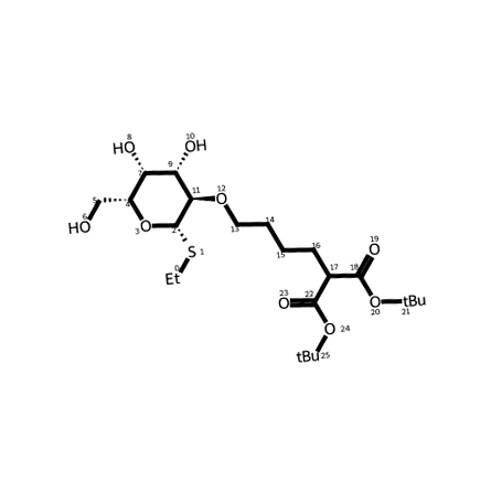 CCS[C@@H]1O[C@H](CO)[C@H](O)[C@H](O)[C@H]1OCCCCC(C(=O)OC(C)(C)C)C(=O)OC(C)(C)C